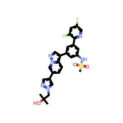 CC(C)(O)Cn1cc(-c2ccc3c(-c4cc(NS(C)(=O)=O)cc(-c5ncc(F)cc5F)c4)cnn3c2)cn1